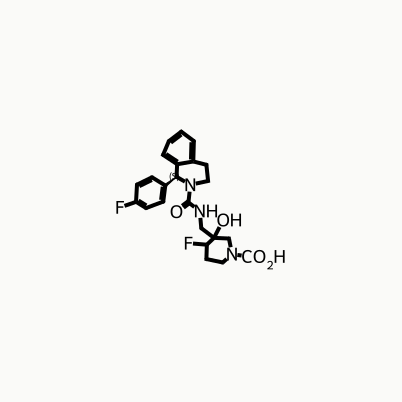 O=C(O)N1CCC(F)C(O)(CNC(=O)N2CCc3ccccc3[C@@H]2c2ccc(F)cc2)C1